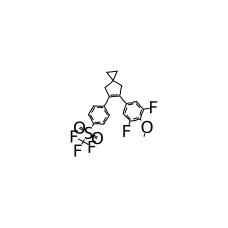 COc1c(F)cc(C2=C(c3ccc(S(=O)(=O)C(F)(F)F)cc3)CC3(CC3)C2)cc1F